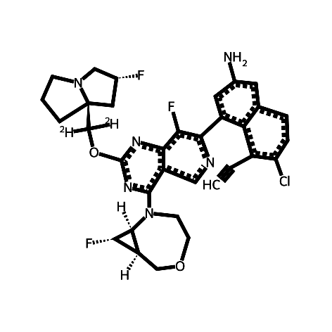 [2H]C([2H])(Oc1nc(N2CCOC[C@H]3[C@H](F)[C@H]32)c2cnc(-c3cc(N)cc4ccc(Cl)c(C#C)c34)c(F)c2n1)[C@@]12CCCN1C[C@H](F)C2